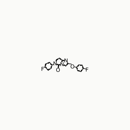 O=c1n(-c2ccc(F)cc2)ccc2nc(COc3ccc(F)cc3)cn12